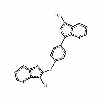 Cn1nc(-c2ccc(Oc3nc4cccnc4n3C)cc2)c2ncccc21